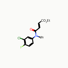 CCOC(=O)/C=C/C(=O)N(c1ccc(F)c(Cl)c1)C(C)C